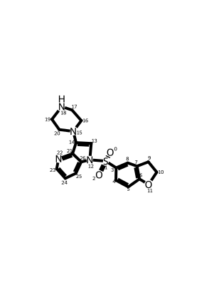 O=S(=O)(c1ccc2c(c1)CCO2)n1cc(N2CCNCC2)c2ncccc21